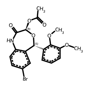 COc1cccc([C@H]2O[C@H](OC(C)=O)C(=O)Nc3ccc(Br)cc32)c1OC